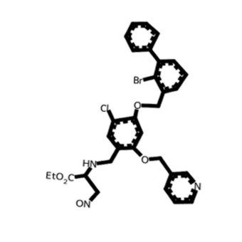 CCOC(=O)C(CN=O)NCc1cc(Cl)c(OCc2cccc(-c3ccccc3)c2Br)cc1OCc1cccnc1